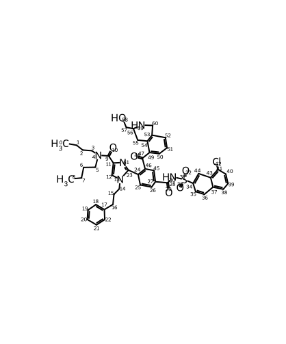 CCCCN(CCCC)C(=O)c1cn(CCCc2ccccc2)c(-c2ccc(C(=O)NS(=O)(=O)c3ccc4cccc(Cl)c4c3)cc2C(=O)c2cccc3c2CC(CO)NC3)n1